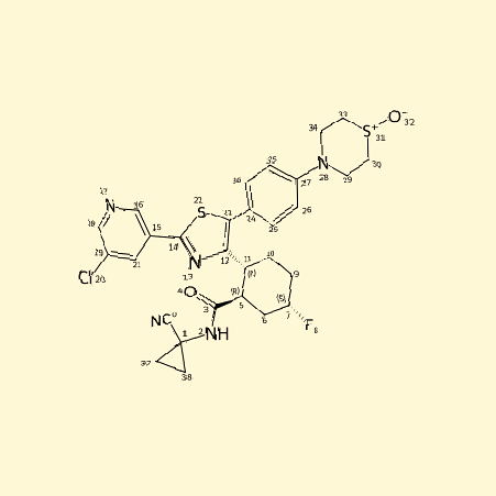 N#CC1(NC(=O)[C@@H]2C[C@@H](F)CC[C@H]2c2nc(-c3cncc(Cl)c3)sc2-c2ccc(N3CC[S+]([O-])CC3)cc2)CC1